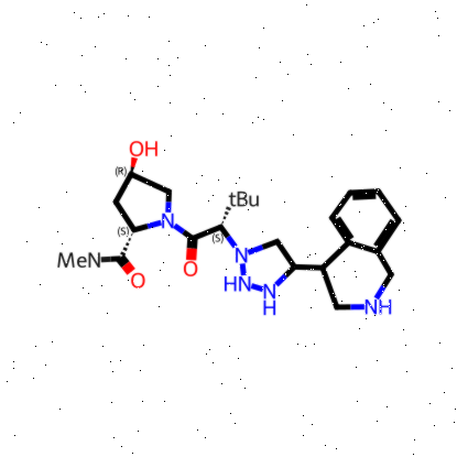 CNC(=O)[C@@H]1C[C@@H](O)CN1C(=O)[C@@H](N1CC(C2CNCc3ccccc32)NN1)C(C)(C)C